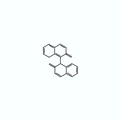 C=C1C=Cc2ccccc2C1c1c2c(ccc1=C)=CC=CC2